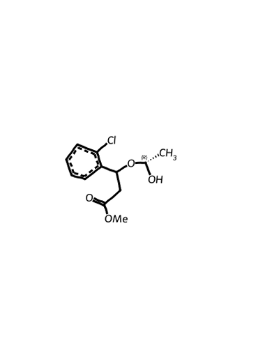 COC(=O)CC(O[C@H](C)O)c1ccccc1Cl